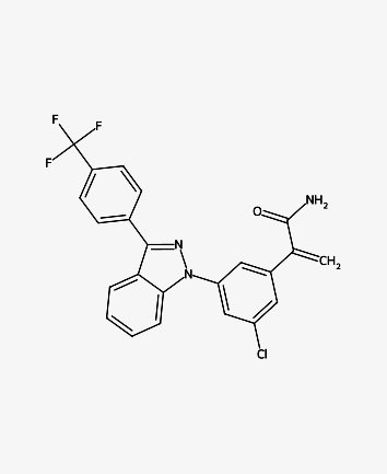 C=C(C(N)=O)c1cc(Cl)cc(-n2nc(-c3ccc(C(F)(F)F)cc3)c3ccccc32)c1